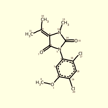 COc1cc(N2C(=O)C(=C(C)C)N(C)C2=O)c(Cl)cc1Cl